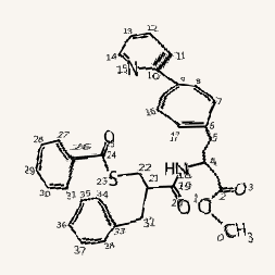 COC(=O)C(Cc1ccc(-c2ccccn2)cc1)NC(=O)C(CSC(=O)c1ccccc1)Cc1ccccc1